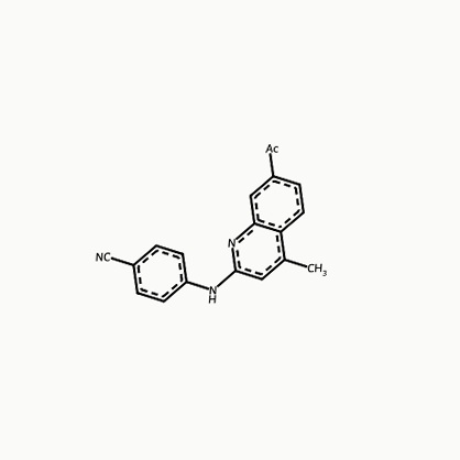 CC(=O)c1ccc2c(C)cc(Nc3ccc(C#N)cc3)nc2c1